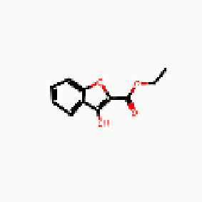 CCOC(=O)c1oc2ccccc2c1O